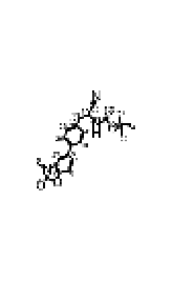 Cn1c(=O)oc2ccc(-c3ccc(CC(C#N)NC(=O)OC(C)(C)C)cc3)cc21